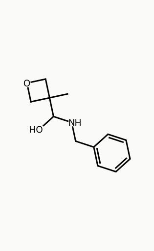 CC1(C(O)NCc2ccccc2)COC1